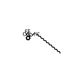 CCCCCCCCCCCCCCCCCC[N+](C)(C)CCOc1ccccc1C(=O)C(F)(F)F